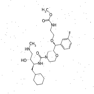 CNC[C@@H](O)[C@H](CC1CCCCC1)NC(=O)N1CCO[C@@H]([C@@H](OCCNC(=O)OC)c2cccc(F)c2)C1